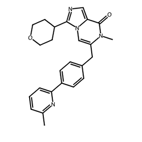 Cc1cccc(-c2ccc(Cc3cn4c(C5CCOCC5)ncc4c(=O)n3C)cc2)n1